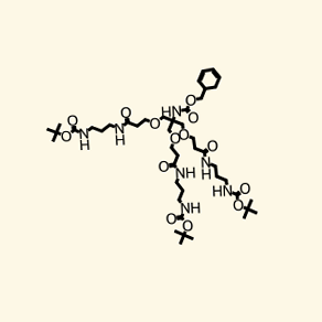 CC(C)(C)OC(=O)NCCCNC(=O)CCOCC(COCCC(=O)NCCCNC(=O)OC(C)(C)C)(COCCC(=O)NCCCNC(=O)OC(C)(C)C)NC(=O)OCC1C=CC=CC1